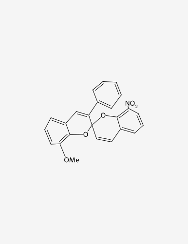 COc1cccc2c1OC1(C=Cc3cccc([N+](=O)[O-])c3O1)C(c1ccccc1)=C2